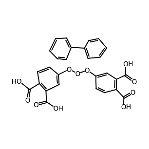 O=C(O)c1ccc(OOOc2ccc(C(=O)O)c(C(=O)O)c2)cc1C(=O)O.c1ccc(-c2ccccc2)cc1